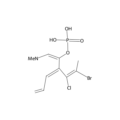 C=C/C=C(C(\Cl)=C(/C)Br)/C(=C\NC)OP(=O)(O)O